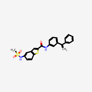 C=C(c1ccccc1)c1cccc(NC(=O)c2cc3cc(NS(C)(=O)=O)ccc3s2)c1